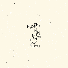 CN(C)/C=N/c1ncnc2c1ncn2Cc1c(F)cccc1Cl